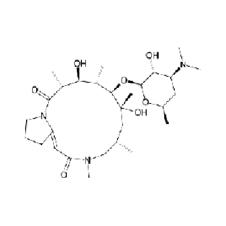 C[C@@H]1CN(C)C(=O)/C=C2\CCCN2C(=O)[C@H](C)[C@@H](O)[C@H](C)[C@@H](O[C@@H]2O[C@H](C)C[C@H](N(C)C)[C@H]2O)[C@](C)(O)C1